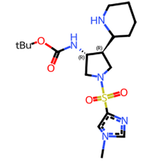 Cn1cnc(S(=O)(=O)N2C[C@H](NC(=O)OC(C)(C)C)[C@@H](C3CCCCN3)C2)c1